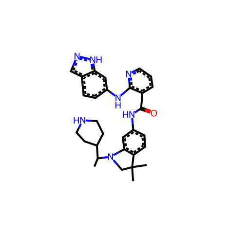 CC(C1CCNCC1)N1CC(C)(C)c2ccc(NC(=O)c3cccnc3Nc3ccc4cn[nH]c4c3)cc21